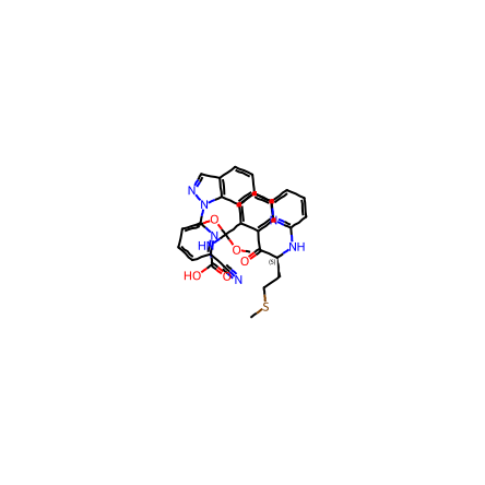 COC(NC(=O)O)(OC)c1ccccc1C(=O)[C@H](CCSC)Nc1cccc(-c2ccc3cnn(-c4cccc(C#N)n4)c3c2)n1